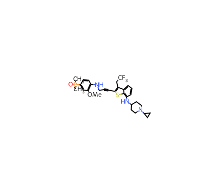 COc1cc(P(C)(C)=O)ccc1NCC#Cc1sc2c(NC3CCN(C4CC4)CC3)cccc2c1CC(F)(F)F